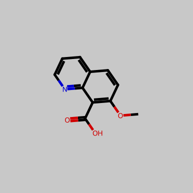 COc1ccc2cccnc2c1C(=O)O